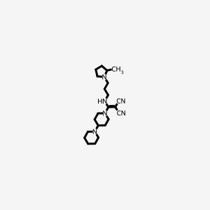 CC1CCCN1CCCNC(=C(C#N)C#N)N1CCC(N2CCCCC2)CC1